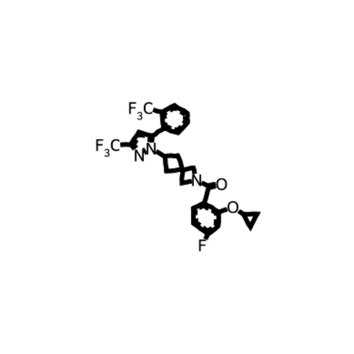 O=C(c1ccc(F)cc1OC1CC1)N1CC2(CC(n3nc(C(F)(F)F)cc3-c3ccccc3C(F)(F)F)C2)C1